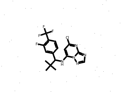 CC(C)(C)C(Nc1cc(Cl)nc2ncnn12)c1ccc(C(F)(F)F)c(F)c1